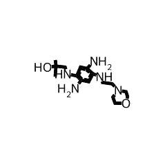 CC(C)(O)CNc1cc(N)c(NCCN2CCOCC2)cc1N